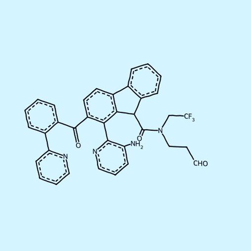 Nc1cccnc1-c1c(C(=O)c2ccccc2-c2ccccn2)ccc2c1C(C(=O)N(CCC=O)CC(F)(F)F)c1ccccc1-2